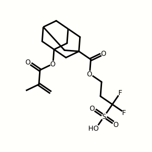 C=C(C)C(=O)OC12CC3CC(C1)CC(C(=O)OCCC(F)(F)S(=O)(=O)O)(C3)C2